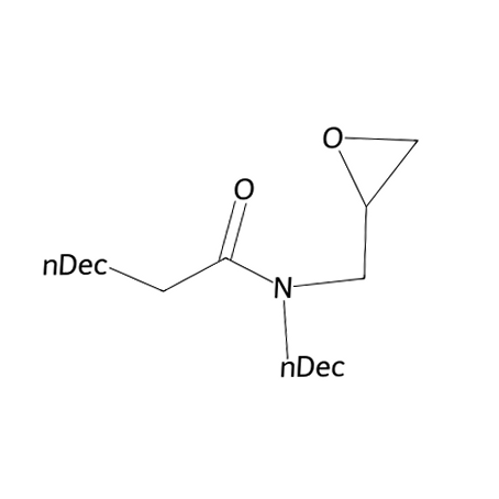 CCCCCCCCCCCC(=O)N(CCCCCCCCCC)CC1CO1